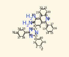 Cc1ccc(-c2nc(C3=Cc4c(-c5ccccc5)nc5ccccc5c4C(N)C3N)nc(-c3ccc(C)cc3)n2)cc1